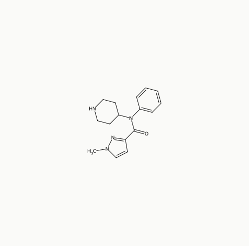 Cn1ccc(C(=O)N(c2ccccc2)C2CCNCC2)n1